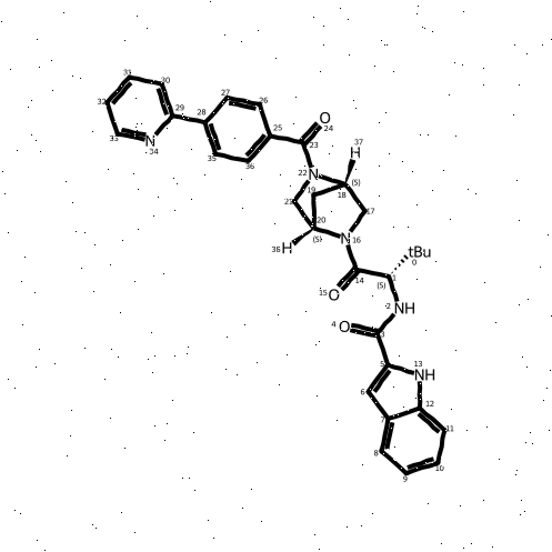 CC(C)(C)[C@H](NC(=O)c1cc2ccccc2[nH]1)C(=O)N1C[C@@H]2C[C@H]1CN2C(=O)c1ccc(-c2ccccn2)cc1